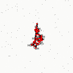 CCCCCC(=O)/N=C/C(CSCc1cc(CSCCNC(=O)COc2ccc3nc2CN(CC(=O)O)CCN(CC(=O)O)CCN(CC(=O)O)C3)cc(CSCC(NC(=O)[C@H](Cc2ccccc2)NC(=O)[C@H](CCC(N)=O)NC(=O)[C@@H](C)[C@@H](C)O)C(=O)O)c1)C(=O)N1CCC[C@H]1C(=O)N1CCC[C@H]1C(N)=O